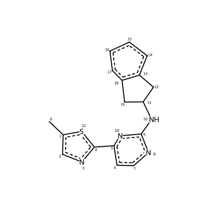 Cc1cnc(-c2ccnc(NC3Cc4ccccc4C3)n2)s1